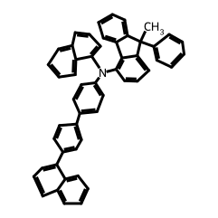 CC1(c2ccccc2)c2ccccc2-c2c(N(c3ccc(-c4ccc(-c5cccc6ccccc56)cc4)cc3)c3cccc4ccccc34)cccc21